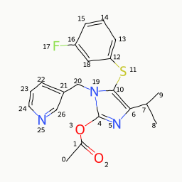 CC(=O)Oc1nc(C(C)C)c(Sc2cccc(F)c2)n1Cc1cccnc1